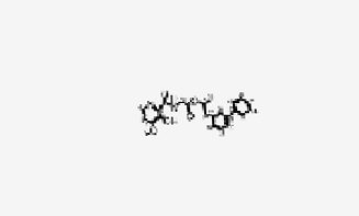 COc1ccnc(C(=O)NCC(=O)OC(C)Cc2cccc(-c3ccccc3)c2)c1O